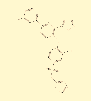 Cn1nccc1-c1nc(-c2cccc(F)c2)ccc1Oc1ccc(S(=O)(=O)Nc2nccs2)cc1C#N